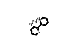 C[CH2][Pd][CH2]C.c1ccc(-c2ccccn2)nc1